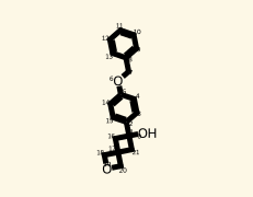 OC1(c2ccc(OCc3ccccc3)cc2)CC2(COC2)C1